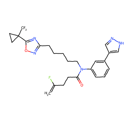 C=C(F)CCC(=O)N(CCCCCc1noc(C2(C(F)(F)F)CC2)n1)c1cccc(-c2cn[nH]c2)c1